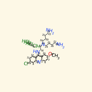 COc1ccc2nc3cc(Cl)ccc3c(NCCN(CCCCN)CCCCN)c2c1.Cl.Cl.Cl.Cl